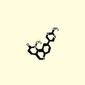 Cn1c(=O)ccc2cnc3ccc(-c4cnc(N)nc4)cc3c21